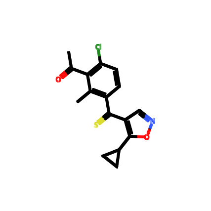 CC(=O)c1c(Cl)ccc(C(=S)c2cnoc2C2CC2)c1C